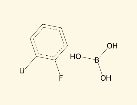 OB(O)O.[Li][c]1ccccc1F